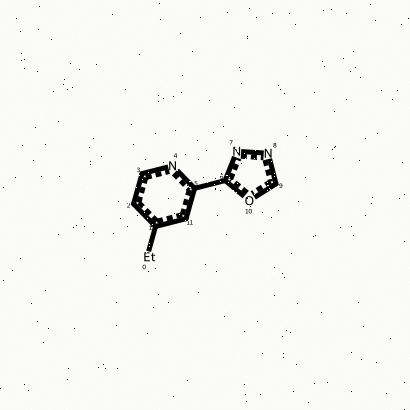 CCc1ccnc(-c2nnco2)c1